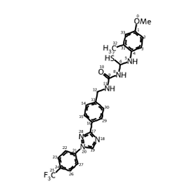 COc1ccc(NC(S)NC(=O)NCc2ccc(-c3ncn(-c4ccc(C(F)(F)F)cc4)n3)cc2)c(C)c1